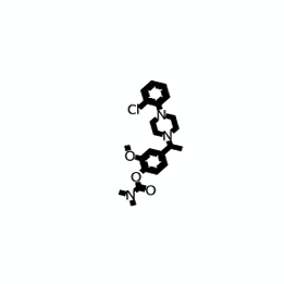 COc1cc(C(C)N2CCN(c3ccccc3Cl)CC2)ccc1OC(=O)N(C)C